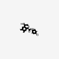 Cc1cc2c(cc1C)[C@H](C(=O)Nc1ccc(Cl)cc1)SC[C@@H]2O